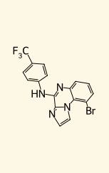 FC(F)(F)c1ccc(Nc2nc3cccc(Br)c3n3ccnc23)cc1